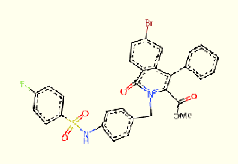 COC(=O)c1c(-c2ccccc2)c2cc(Br)ccc2c(=O)n1Cc1ccc(NS(=O)(=O)c2ccc(F)cc2)cc1